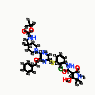 CN1C(=O)C(C(=O)Nc2cccc(Sc3cnc(N4CCC(C)(CNC(=O)OC(C)(C)C)CC4)c(OCc4ccccc4)n3)c2Cl)=C(O)C1(C)C